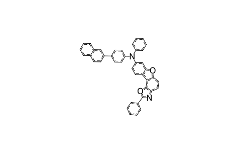 c1ccc(-c2nc3ccc4oc5cc(N(c6ccccc6)c6ccc(-c7ccc8ccccc8c7)cc6)ccc5c4c3o2)cc1